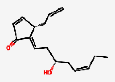 C=CC[C@H]1C=CC(=O)/C1=C/C[C@@H](O)C/C=C\CC